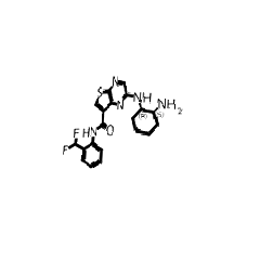 N[C@H]1CCCC[C@H]1Nc1cnc2scc(C(=O)Nc3ccccc3C(F)F)c2n1